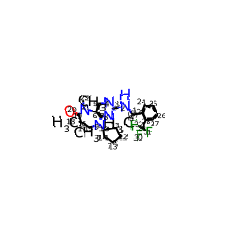 C[C@H](Nc1ncc2c(n1)N(C1CCCC1)CC(C)(C)C(=O)N2C)c1ccccc1C(F)(F)F